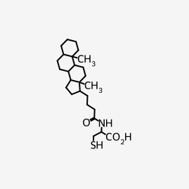 CC12CCCCC1CCC1C2CCC2(C)C(CCCC(=O)NC(CS)C(=O)O)CCC12